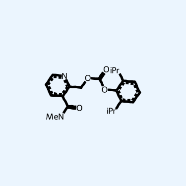 CNC(=O)c1cccnc1COC(=O)Oc1c(C(C)C)cccc1C(C)C